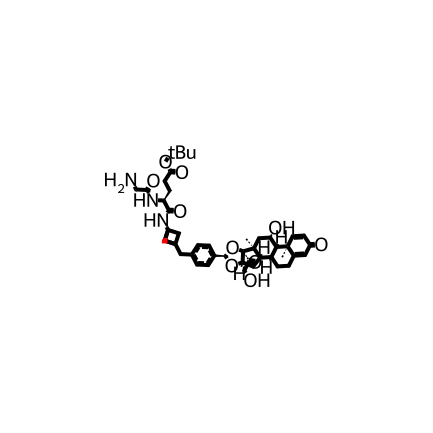 CC(C)(C)OC(=O)CC[C@H](NC(=O)CN)C(=O)NC12CC(Cc3ccc([C@@H]4O[C@@H]5C[C@H]6[C@@H]7CCC8=CC(=O)C=C[C@]8(C)[C@H]7[C@@H](O)C[C@]6(C)[C@]5(C(=O)CO)O4)cc3)(C1)C2